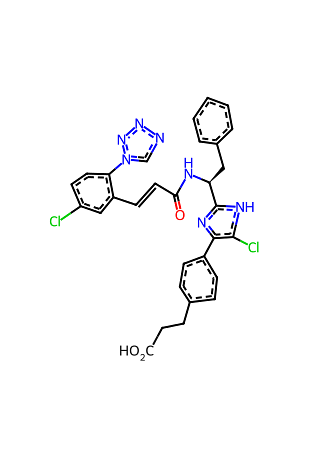 O=C(O)CCc1ccc(-c2nc([C@H](Cc3ccccc3)NC(=O)C=Cc3cc(Cl)ccc3-n3cnnn3)[nH]c2Cl)cc1